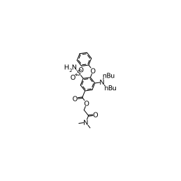 CCCCN(CCCC)c1cc(C(=O)OCC(=O)N(C)C)cc(S(N)(=O)=O)c1Oc1ccccc1